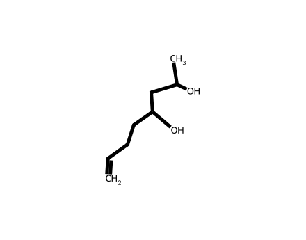 C=CCCC(O)CC(C)O